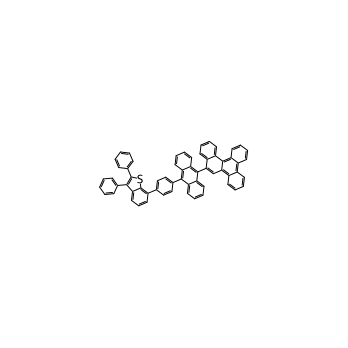 c1ccc(-c2sc3c(-c4ccc(-c5c6ccccc6c(-c6cc7c8ccccc8c8ccccc8c7c7ccccc67)c6ccccc56)cc4)cccc3c2-c2ccccc2)cc1